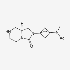 CC(=O)N(C)C12CC(N3C[C@@H]4CNCCN4C3=O)(C1)C2